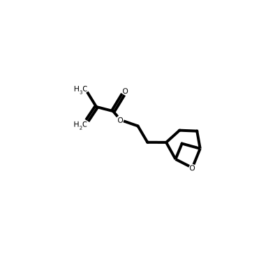 C=C(C)C(=O)OCCC1CCC2CC1O2